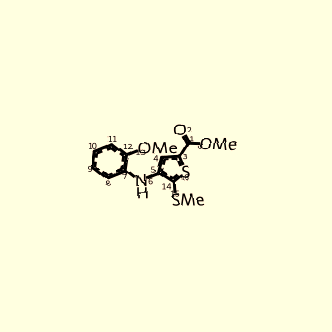 COC(=O)c1cc(Nc2ccccc2OC)c(SC)s1